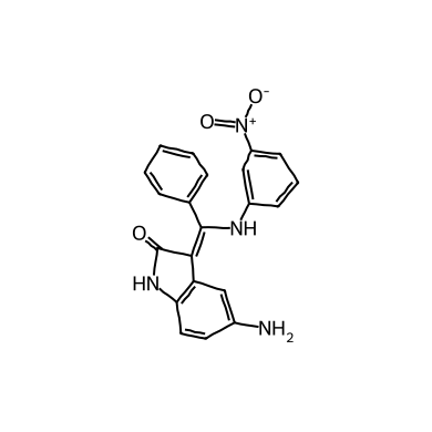 Nc1ccc2c(c1)C(=C(Nc1cccc([N+](=O)[O-])c1)c1ccccc1)C(=O)N2